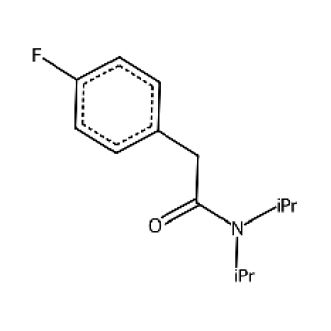 CC(C)N(C(=O)Cc1ccc(F)cc1)C(C)C